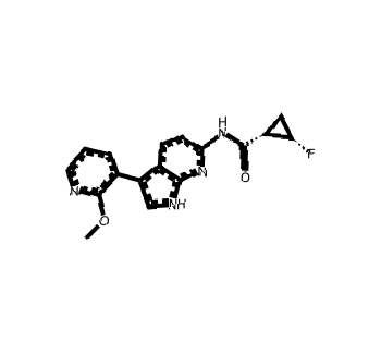 COc1ncccc1-c1c[nH]c2nc(NC(=O)[C@@H]3C[C@@H]3F)ccc12